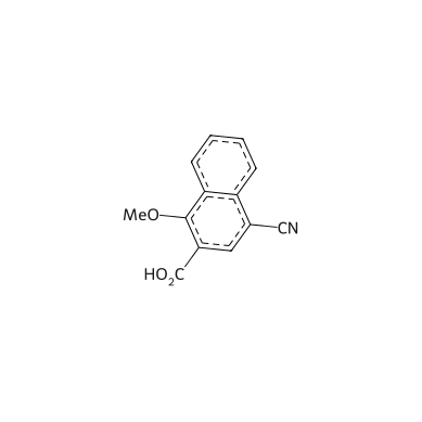 COc1c(C(=O)O)cc(C#N)c2ccccc12